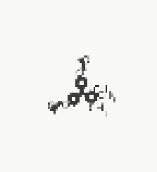 CC1CC(C(c2ccc(OCC3CO3)cc2)c2ccc(OCC3CO3)cc2)CC(C)(C)C1